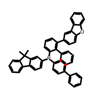 CC1(C)c2ccccc2-c2ccc(N(c3ccc(-c4ccccc4)cc3)c3cccc(-c4ccc5oc6ccccc6c5c4)c3-c3ccccc3)cc21